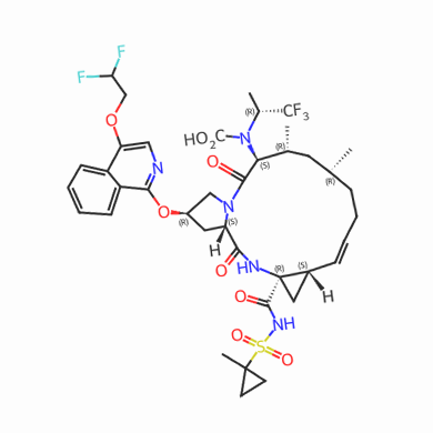 C[C@@H]1CCC=C[C@@H]2C[C@@]2(C(=O)NS(=O)(=O)C2(C)CC2)NC(=O)[C@@H]2C[C@@H](Oc3ncc(OCC(F)F)c4ccccc34)CN2C(=O)[C@@H](N(C(=O)O)[C@H](C)C(F)(F)F)[C@H](C)C1